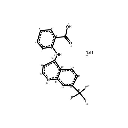 O=C(O)c1ccccc1Nc1ccnc2cc(C(F)(F)F)ccc12.[NaH]